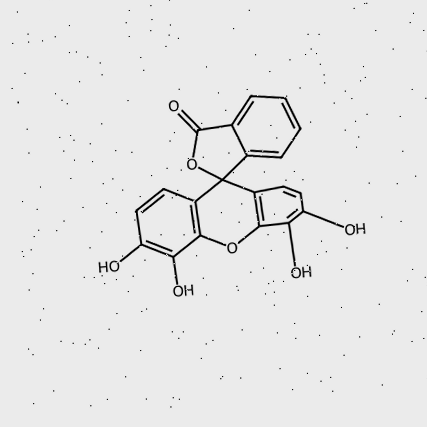 O=C1OC2(c3ccccc31)c1ccc(O)c(O)c1Oc1c2ccc(O)c1O